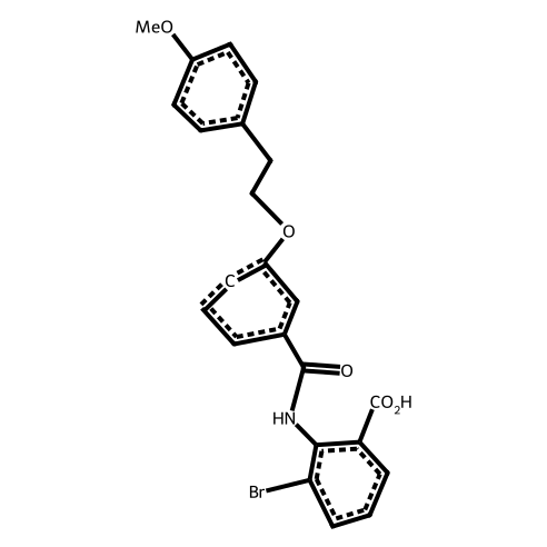 COc1ccc(CCOc2cccc(C(=O)Nc3c(Br)cccc3C(=O)O)c2)cc1